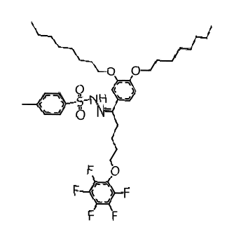 CCCCCCCCOc1ccc(/C(CCCCOc2c(F)c(F)c(F)c(F)c2F)=N\NS(=O)(=O)c2ccc(C)cc2)cc1OCCCCCCCC